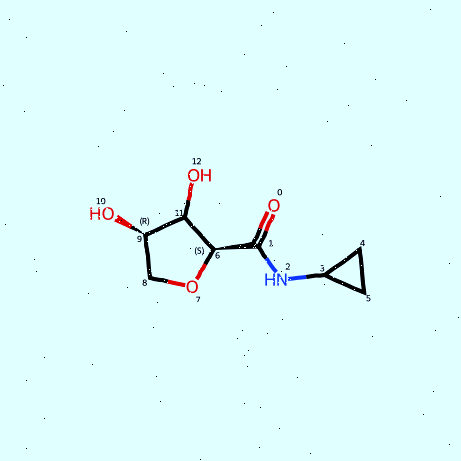 O=C(NC1CC1)[C@H]1OC[C@@H](O)C1O